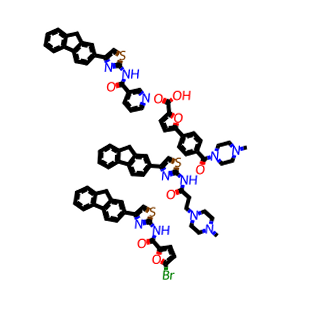 CN1CCN(C(=O)c2ccc(-c3ccc(C(=O)O)o3)cc2)CC1.CN1CCN(CCC(=O)Nc2nc(-c3ccc4c(c3)Cc3ccccc3-4)cs2)CC1.O=C(Nc1nc(-c2ccc3c(c2)Cc2ccccc2-3)cs1)c1ccc(Br)o1.O=C(Nc1nc(-c2ccc3c(c2)Cc2ccccc2-3)cs1)c1cccnc1